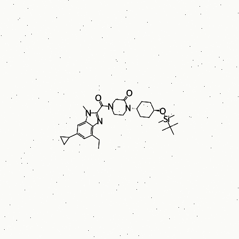 CCc1cc(C2CC2)cc2c1nc(C(=O)N1CCN([C@H]3CC[C@H](O[Si](C)(C)C(C)(C)C)CC3)C(=O)C1)n2C